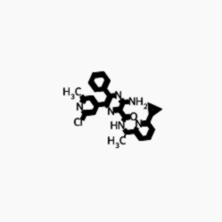 Cc1cc(-c2nc(C(=O)N[C@@H](C)c3cccc(C4CC4)n3)c(N)nc2-c2ccccc2)cc(Cl)n1